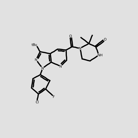 CC(C)(C)c1nn(-c2ccc(Cl)c(F)c2)c2ncc(C(=O)N3CCNC(=O)C3(C)C)cc12